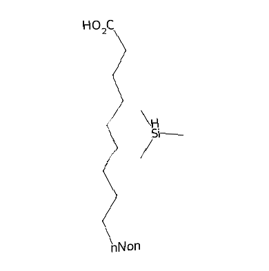 CCCCCCCCCCCCCCCCCC(=O)O.C[SiH](C)C